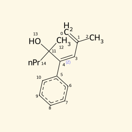 C=C(C)/C=C(/c1ccccc1)C(C)(O)CCC